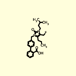 CCCc1c(CF)n(CCC(C)C)c(=O)n1Cc1ccc(-c2ccccc2C(=O)O)cc1